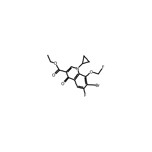 CCOC(=O)c1cn(C2CC2)c2c(OCF)c(Br)c(F)cc2c1=O